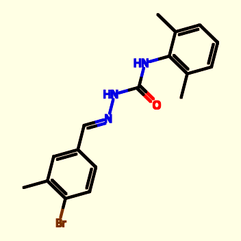 Cc1cc(/C=N/NC(=O)Nc2c(C)cccc2C)ccc1Br